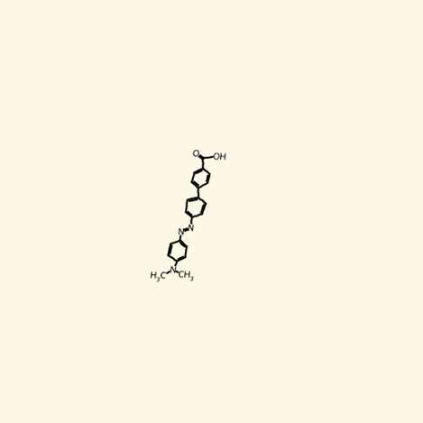 CN(C)c1ccc(/N=N/c2ccc(-c3ccc(C(=O)O)cc3)cc2)cc1